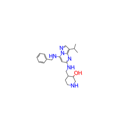 CC(C)c1cnn2c(NCc3ccccc3)cc(NCC3CCNC[C@@H]3O)nc12